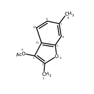 CC(=O)Oc1c(C)oc2cc(C)ccc12